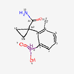 CCc1cccc([PH](=O)O)c1C1(C(N)=O)CC1